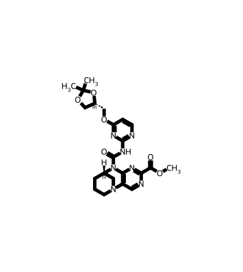 COC(=O)c1ncc2c(n1)N(C(=O)Nc1nccc(OC[C@@H]3COC(C)(C)O3)n1)[C@H]1CCCN2C1